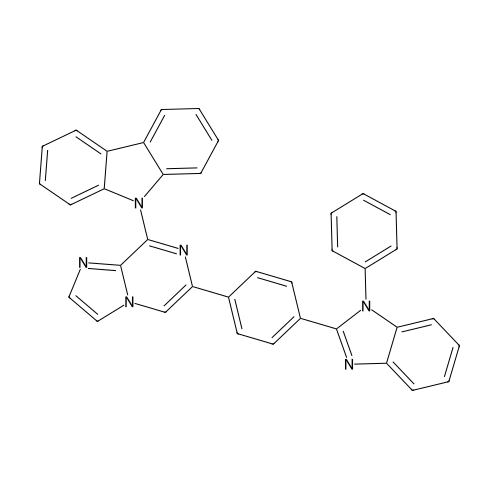 c1ccc(-n2c(-c3ccc(-c4cn5ccnc5c(-n5c6ccccc6c6ccccc65)n4)cc3)nc3ccccc32)cc1